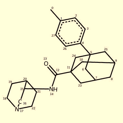 Cc1ccc(C23CC4CC(CC(C(=O)NC5CN6CCC5CC6)(C4)C2)C3)cc1